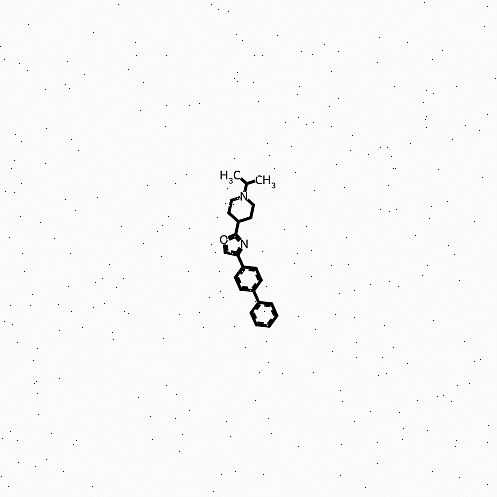 CC(C)N1CCC(c2nc(-c3ccc(-c4ccccc4)cc3)co2)CC1